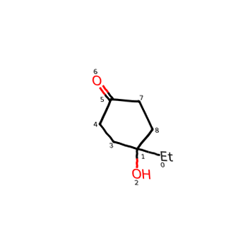 CCC1(O)CCC(=O)CC1